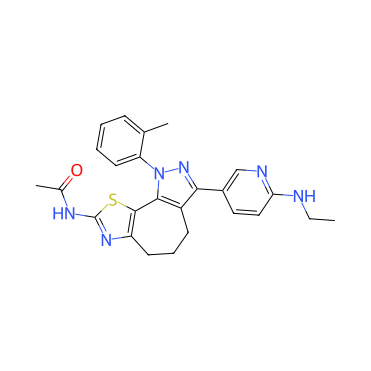 CCNc1ccc(-c2nn(-c3ccccc3C)c3c2CCCc2nc(NC(C)=O)sc2-3)cn1